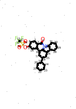 O=c1c2ccc(OS(=O)(=O)C(F)(F)F)cc2c2cc(-c3ccccc3)cc3c4ccccc4n1c23